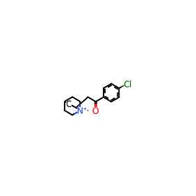 O=C(CC1CC2CC[N+]1CC2)c1ccc(Cl)cc1